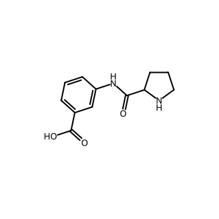 O=C(O)c1cccc(NC(=O)C2CCCN2)c1